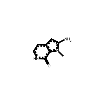 Cn1c(N)cc2cc[nH]c(=O)c21